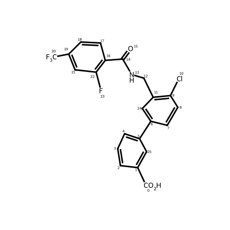 O=C(O)c1cccc(-c2ccc(Cl)c(CNC(=O)c3ccc(C(F)(F)F)cc3F)c2)c1